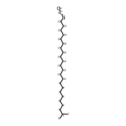 CC(C)CCCCCCCCCCCCCCCCCCCCCN=C=O